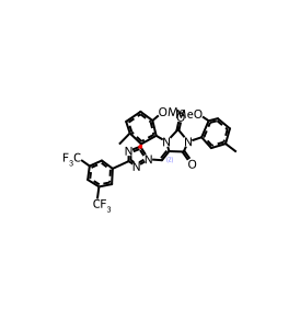 COc1ccc(C)cc1N1C(=O)/C(=C/n2cnc(-c3cc(C(F)(F)F)cc(C(F)(F)F)c3)n2)N(c2cc(C)ccc2OC)C1=O